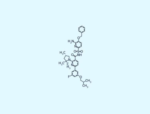 CC(C)COc1cc(F)cc(-c2ccc(C(=O)NS(=O)(=O)c3ccc(OCc4ccccc4)c(N)n3)c(N3C[C@@H](C)CC3(C)C)n2)c1